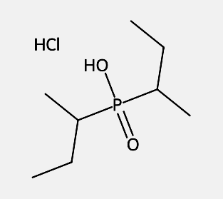 CCC(C)P(=O)(O)C(C)CC.Cl